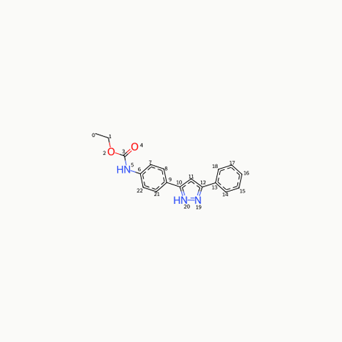 CCOC(=O)Nc1ccc(-c2cc(-c3ccccc3)n[nH]2)cc1